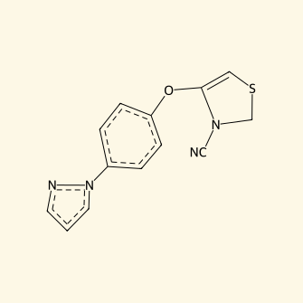 N#CN1CSC=C1Oc1ccc(-n2cccn2)cc1